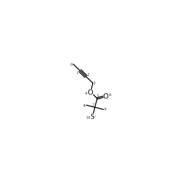 CC#CCOC(=O)C(C)(C)[S]